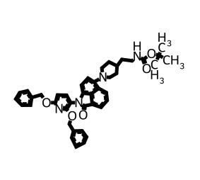 CC(C)(C)OC(=O)NCCC1CCN(c2ccc3c4c(cccc24)C(=O)N3c2ccc(OCc3ccccc3)nc2OCc2ccccc2)CC1